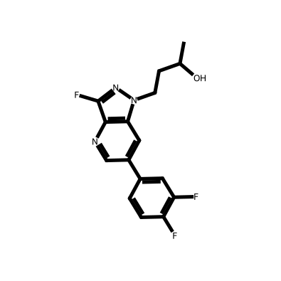 CC(O)CCn1nc(F)c2ncc(-c3ccc(F)c(F)c3)cc21